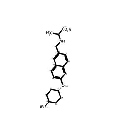 CC(NCc1ccc2cc(O[C@H]3CC[C@H](C(C)(C)C)CC3)ccc2c1)C(=O)O